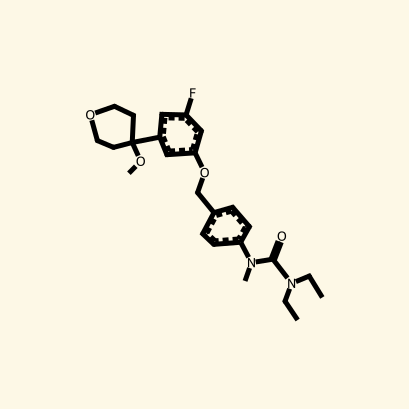 CCN(CC)C(=O)N(C)c1ccc(COc2cc(F)cc(C3(OC)CCOCC3)c2)cc1